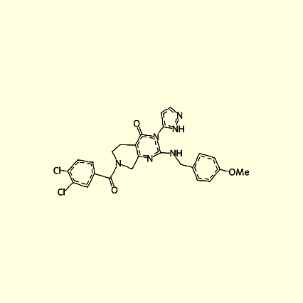 COc1ccc(CNc2nc3c(c(=O)n2-c2ccn[nH]2)CCN(C(=O)c2ccc(Cl)c(Cl)c2)C3)cc1